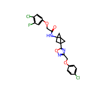 O=C(COc1ccc(Cl)c(F)c1)NC12CC3(c4nc(COc5ccc(Cl)cc5)no4)CC13C2